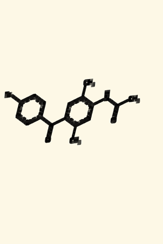 CC(=O)Nc1cc(C)c(C(=O)c2ccc(Br)cc2)cc1C